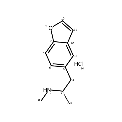 CN[C@@H](C)Cc1ccc2occc2c1.Cl